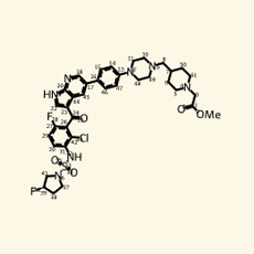 COC(=O)CN1CCC(CN2CCN(c3ccc(-c4cnc5[nH]cc(C(=O)c6c(F)ccc(NS(=O)(=O)N7CC[C@@H](F)C7)c6Cl)c5c4)cc3)CC2)CC1